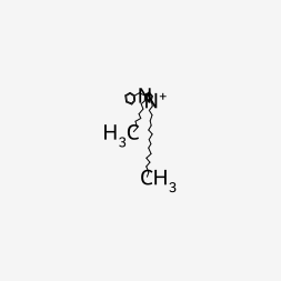 CCCCCCCCCCCCCCCC[n+]1ccn(Cc2ccccc2)c1CCCCCCC